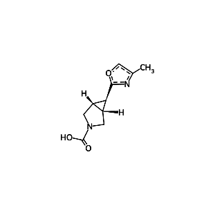 Cc1coc([C@H]2[C@@H]3CN(C(=O)O)C[C@@H]32)n1